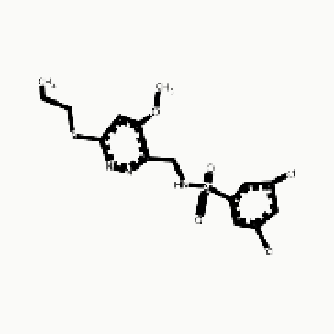 CCCSc1cc(OC)c(CNS(=O)(=O)c2cc(Cl)cc(Cl)c2)nn1